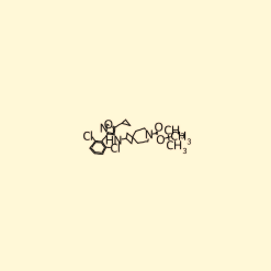 CC(C)(C)OC(=O)N1CCC2(CC1)CC(Nc1c(-c3c(Cl)cccc3Cl)noc1C1CC1)C2